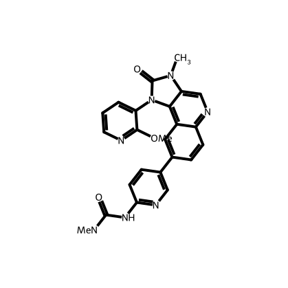 CNC(=O)Nc1ccc(-c2ccc3ncc4c(c3c2)n(-c2cccnc2OC)c(=O)n4C)cn1